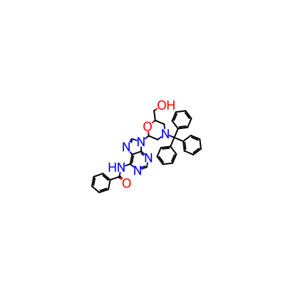 O=C(Nc1ncnc2c1ncn2C1CN(C(c2ccccc2)(c2ccccc2)c2ccccc2)CC(CO)O1)c1ccccc1